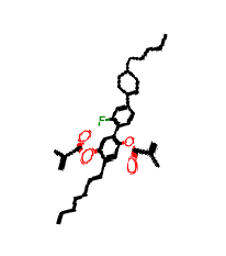 C=C(C)C(=O)Oc1cc(-c2ccc(C3CCC(CCCCC)CC3)cc2F)c(OC(=O)C(=C)C)cc1CCCCCCC